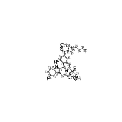 CO[C@H](c1cc(F)c([C@@H]2c3[nH]c4ccc(F)cc4c3C[C@@H](C)N2CC(F)(F)CO)c(F)c1)C1CN(CCCF)C1